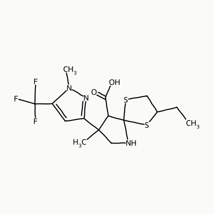 CCC1CSC2(NCC(C)(c3cc(C(F)(F)F)n(C)n3)C2C(=O)O)S1